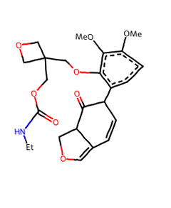 CCNC(=O)OCC1(COc2c(C3C=CC4=COCC4C3=O)ccc(OC)c2OC)COC1